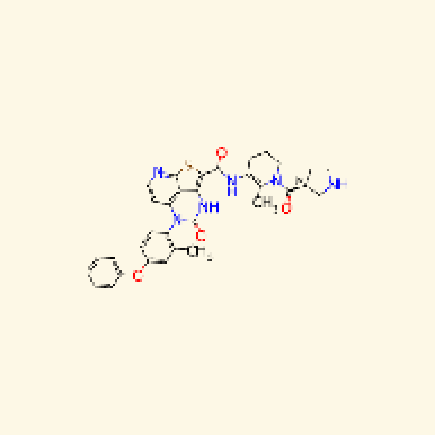 CC1=C(NC(=O)c2sc3nccc4c3c2NC(=O)N4c2ccc(Oc3ccccc3)cc2C)CCCN1C(=O)[C@H]1CCNC1